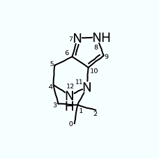 CC1(C)CC2Cc3n[nH]cc3N1N2